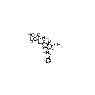 Cc1nc(NCc2ccco2)c2sc(C[C@H](C)NC(=O)O)c(C)c2n1